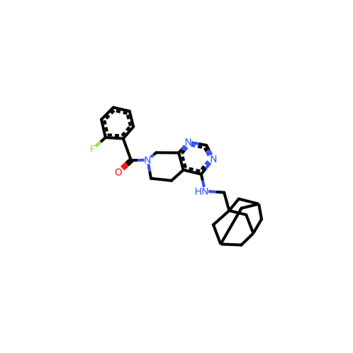 O=C(c1ccccc1F)N1CCc2c(ncnc2NCC23CC4CC(CC(C4)C2)C3)C1